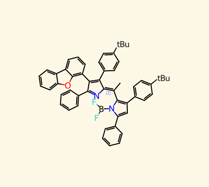 C/C(=C1/N=C(c2ccccc2)C(c2cccc3c2oc2ccccc23)=C1c1ccc(C(C)(C)C)cc1)c1c(-c2ccc(C(C)(C)C)cc2)cc(-c2ccccc2)n1B(F)F